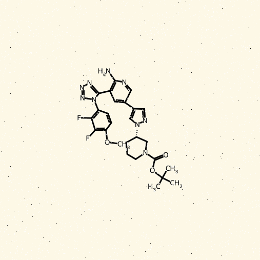 COc1ccc(-n2nnnc2-c2cc(-c3cnn([C@H]4CCCN(C(=O)OC(C)(C)C)C4)c3)cnc2N)c(F)c1F